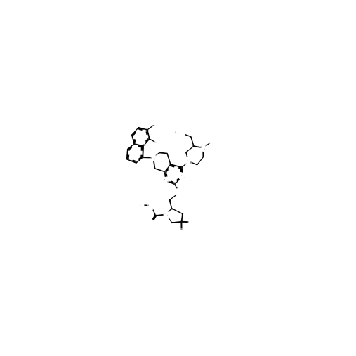 CC(C)(C)OC(=O)N1CC(F)(F)CC1COc1nc2c(c(N3CCN(C(=O)O)C(CC#N)C3)n1)CCN(c1cccc3ccc(F)c(Cl)c13)C2